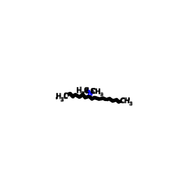 CCCCCCCCCCC(CCCCCCC)N(C)C